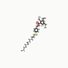 CCCCCCCCCCCCCSc1ccc(/C=C/C(=O)c2cc(CC)cc(CC)c2CC)cc1